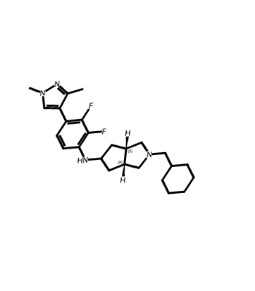 Cc1nn(C)cc1-c1ccc(NC2C[C@@H]3CN(CC4CCCCC4)C[C@@H]3C2)c(F)c1F